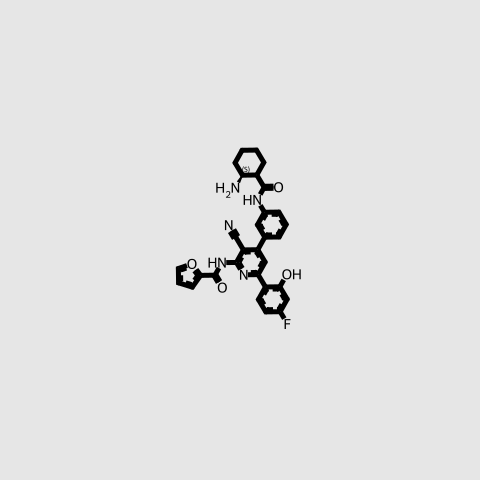 N#Cc1c(-c2cccc(NC(=O)C3CCCC[C@@H]3N)c2)cc(-c2ccc(F)cc2O)nc1NC(=O)c1ccco1